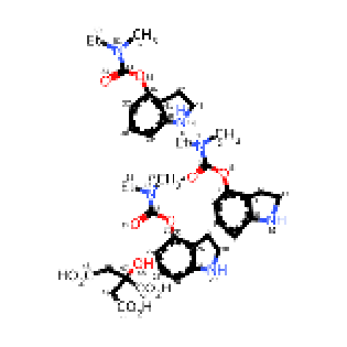 CCN(C)C(=O)Oc1cccc2c1CCN2.CCN(C)C(=O)Oc1cccc2c1CCN2.CCN(C)C(=O)Oc1cccc2c1CCN2.O=C(O)CC(O)(CC(=O)O)C(=O)O